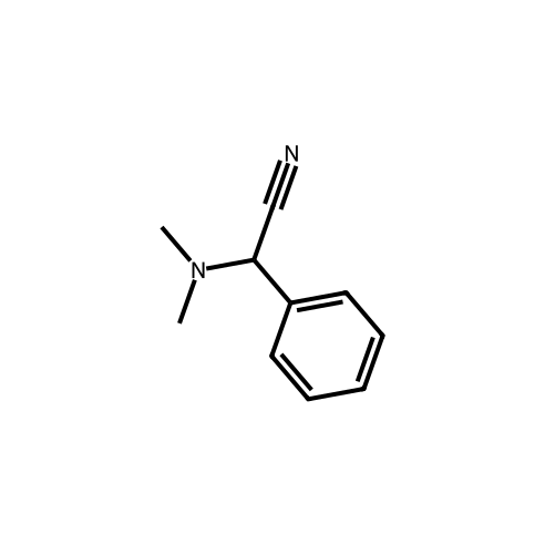 CN(C)C(C#N)c1ccccc1